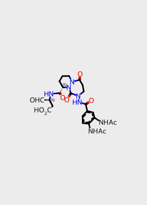 CC(=O)Nc1ccc(C(=O)NN2CCC(=O)N3CCC[C@@H](C(=O)N[C@H](C=O)CC(=O)O)N3C2=O)cc1NC(C)=O